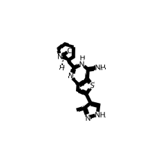 Cc1n[nH]cc1-c1cc2nc([C@@H]3CC4CCN3CC4)[nH]c(=N)c2s1